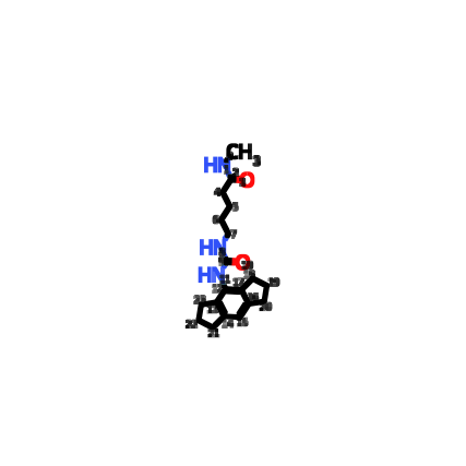 CNC(=O)CCCCNC(=O)Nc1c2c(cc3c1CCC3)CCC2